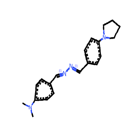 CN(C)c1ccc(/C=N/N=C/c2ccc(N3CCCC3)cc2)cc1